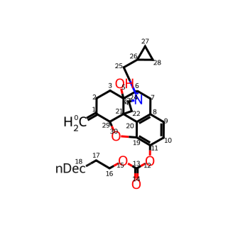 C=C1CCC2(O)C3Cc4ccc(OC(=O)OCCCCCCCCCCCC)c5c4C2(CCN3CC2CC2)C1O5